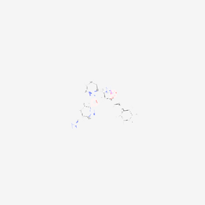 N#Cc1ccc(OCc2c(-c3ccccn3)noc2/C=C/c2ccccc2)nc1